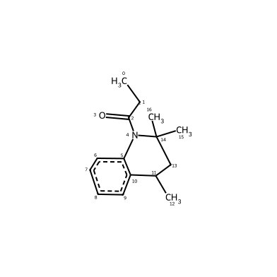 C[CH]C(=O)N1c2ccccc2C(C)CC1(C)C